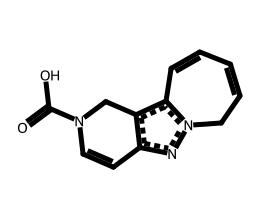 O=C(O)N1C=Cc2nn3c(c2C1)C=CC=CC3